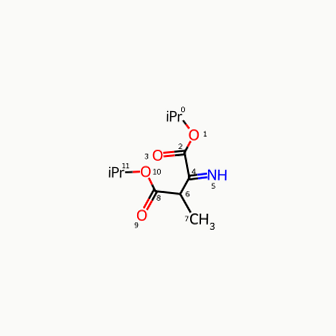 CC(C)OC(=O)C(=N)C(C)C(=O)OC(C)C